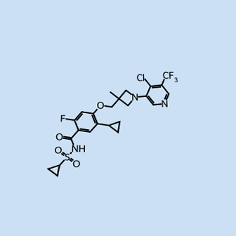 CC1(COc2cc(F)c(C(=O)NS(=O)(=O)C3CC3)cc2C2CC2)CN(c2cncc(C(F)(F)F)c2Cl)C1